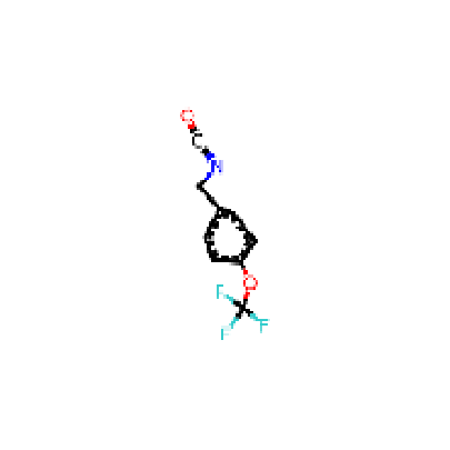 O=C=NCc1ccc(OC(F)(F)F)cc1